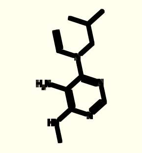 C=CN(CC(C)C)c1ncnc(NC)c1N